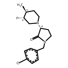 C[C@H]1CCN([C@@H]2CCN(Cc3ccc(Cl)cc3)C2=O)C[C@@H]1F